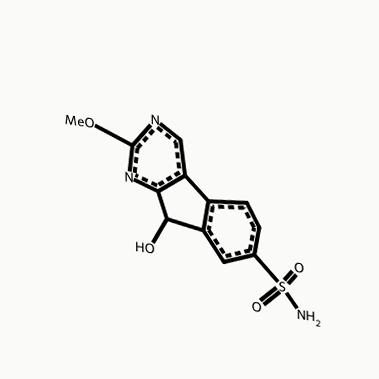 COc1ncc2c(n1)C(O)c1cc(S(N)(=O)=O)ccc1-2